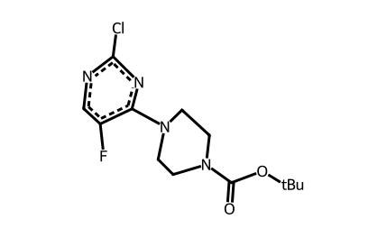 CC(C)(C)OC(=O)N1CCN(c2nc(Cl)ncc2F)CC1